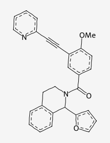 COc1ccc(C(=O)N2CCc3ccccc3C2c2ccco2)cc1C#Cc1ccccn1